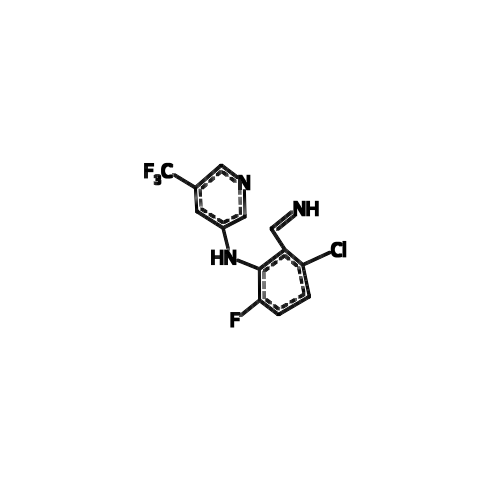 N=Cc1c(Cl)ccc(F)c1Nc1cncc(C(F)(F)F)c1